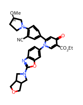 CCOC(=O)c1cn(-c2ccc3nc(N4CC5COCC5C4)oc3c2)c(-c2ccc(N3CC[C@@H](OC)C3)c(C#N)c2)cc1=O